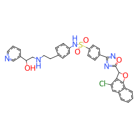 O=S(=O)(Nc1ccc(CCNCC(O)c2cccnc2)cc1)c1ccc(-c2noc(C3Oc4c3c(Cl)cc3ccccc43)n2)cc1